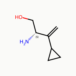 C=C(C1CC1)[C@H](N)CO